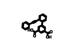 O=C(O)c1cc(C(=O)O)cc(-c2ccccc2C#Cc2ccccc2)c1